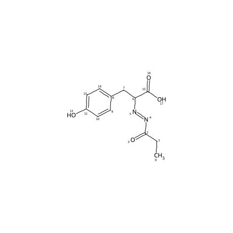 CCC(=O)N=NC(Cc1ccc(O)cc1)C(=O)O